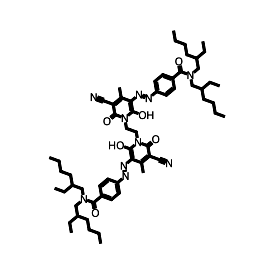 CCCCC(CC)CN(CC(CC)CCCC)C(=O)c1ccc(/N=N/c2c(C)c(C#N)c(=O)n(CCn3c(O)c(/N=N/c4ccc(C(=O)N(CC(CC)CCCC)CC(CC)CCCC)cc4)c(C)c(C#N)c3=O)c2O)cc1